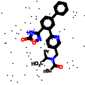 CCCCC(=O)N(Cc1ccc(-c2cc(-c3ccccc3)ccc2-c2noc(=O)[nH]2)nc1)C(C(=O)O)C(C)C